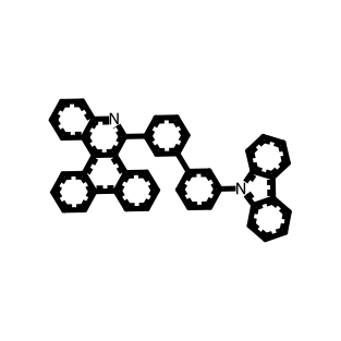 c1cc(-c2cccc(-n3c4ccccc4c4ccccc43)c2)cc(-c2nc3ccccc3c3c4ccccc4c4ccccc4c23)c1